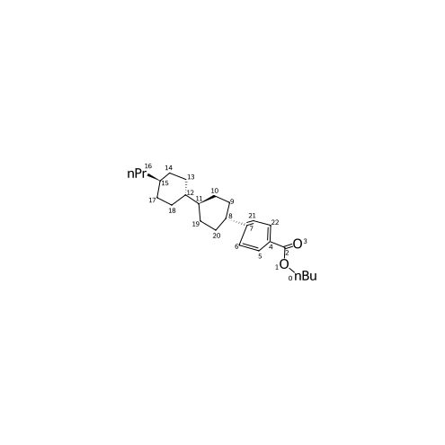 CCCCOC(=O)c1ccc([C@H]2CC[C@H]([C@H]3CC[C@H](CCC)CC3)CC2)cc1